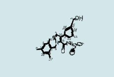 Cc1cc(C)c(Cn2ncc(-c3cccc(CO)c3)c2C(=O)N=S(=O)=O)c(C)c1